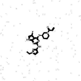 C=CC(=O)N1CCC[C@@H](Sc2nc(Nc3ccn(CC)n3)nc3[nH]cc(F)c23)C1